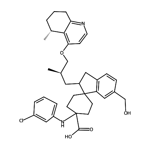 C[C@@H](COc1ccnc2c1[C@H](C)CCC2)CC1Cc2ccc(CO)cc2C12CCC(Nc1cccc(Cl)c1)(C(=O)O)CC2